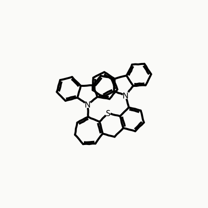 C1=CC2=C(Sc3c(cccc3-n3c4ccccc4c4ccccc43)C2)C(n2c3ccccc3c3ccccc32)=CC1